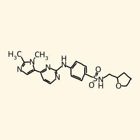 Cc1ncc(-c2ccnc(Nc3ccc(S(=O)(=O)NCC4CCCO4)cc3)n2)n1C